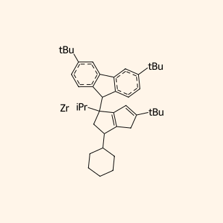 CC(C)C1(C2c3ccc(C(C)(C)C)cc3-c3cc(C(C)(C)C)ccc32)CC(C2CCCCC2)C2=C1C=C(C(C)(C)C)C2.[Zr]